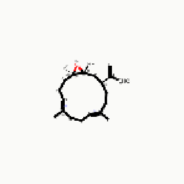 C=C(C=O)[C@H]1CC/C(C)=C/CC/C(C)=C/CC[C@@]2(C)O[C@@H]2C1